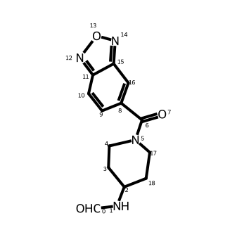 O=CNC1CCN(C(=O)c2ccc3nonc3c2)CC1